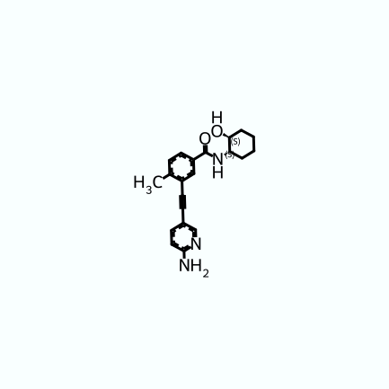 Cc1ccc(C(=O)N[C@H]2CCCC[C@@H]2O)cc1C#Cc1ccc(N)nc1